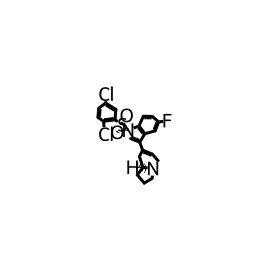 O=S(=O)(c1cc(Cl)ccc1Cl)n1cc(C2=CCN3CCC[C@H]3C2)c2cc(F)ccc21